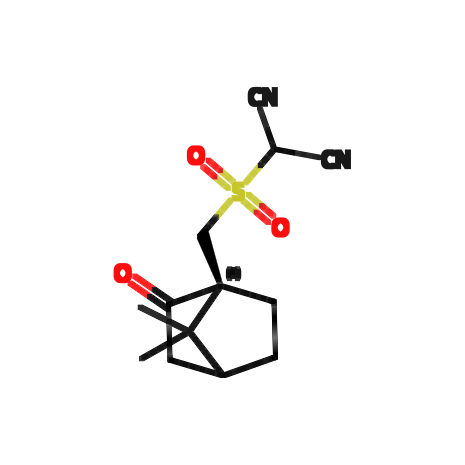 CC1(C)C2CC[C@@]1(CS(=O)(=O)C(C#N)C#N)C(=O)C2